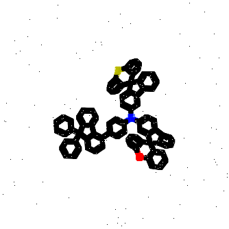 c1ccc(C2(c3ccccc3)c3ccccc3-c3c(-c4ccc(N(c5ccc6c(c5)-c5ccccc5C65c6ccccc6Sc6ccccc65)c5ccc6c(c5)C5(c7ccccc7Oc7ccccc75)c5ccccc5-6)cc4)cccc32)cc1